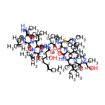 C/C=C/C[C@@H](C)[C@@H](O)[C@@H](C(=O)N[C@@H](CC)C(=O)N(C)[C@H](SCCN(C)C)C(=O)N(C)[C@@H](CC(C)C)C(=O)NC(C(=O)N(C)[C@@H](CC(C)C)C(=O)N[C@H](C)CO)C(C)C)N(C)C(=O)[C@H](C(C)C)N(C)C(=O)[C@H](CC(C)C)N(C)C(=O)[C@H](CC(C)C)N(C)C(=O)[C@@H](C)N